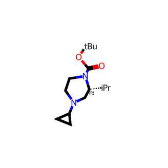 CC(C)[C@@H]1CN(C2CC2)CCN1C(=O)OC(C)(C)C